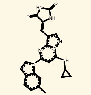 Cc1ccc2ccn(-c3cc(NC4CC4)n4ncc(/C=C5\NC(=O)NC5=O)c4n3)c2c1